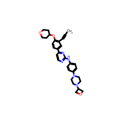 CC#Cc1cc(-c2ccnc(Nc3ccc(N4CCN(C5COC5)CC4)cc3)n2)ccc1OC1CCOCC1